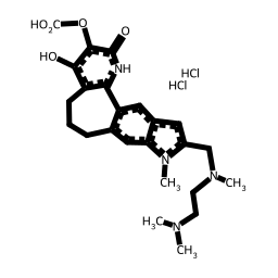 CN(C)CCN(C)Cc1cc2cc3c(cc2n1C)CCCc1c-3[nH]c(=O)c(OC(=O)O)c1O.Cl.Cl